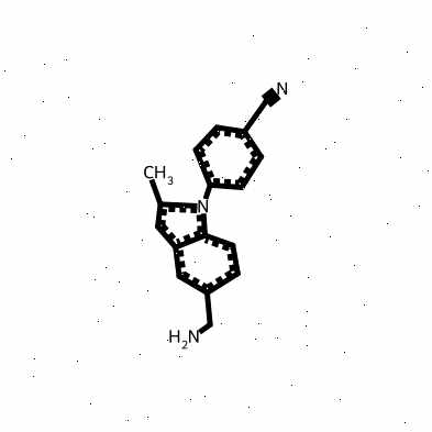 Cc1cc2cc(CN)ccc2n1-c1ccc(C#N)cc1